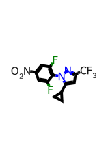 O=[N+]([O-])c1cc(F)c(-n2nc(C(F)(F)F)cc2C2CC2)c(F)c1